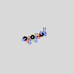 O=C(Nc1c(F)ccc(NS(=O)(=O)c2cccnc2)c1F)Oc1cnc2[nH]cnc2c1